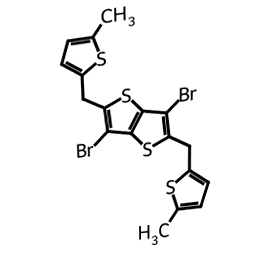 Cc1ccc(Cc2sc3c(Br)c(Cc4ccc(C)s4)sc3c2Br)s1